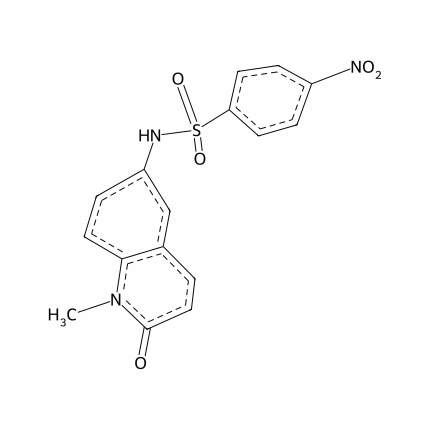 Cn1c(=O)ccc2cc(NS(=O)(=O)c3ccc([N+](=O)[O-])cc3)ccc21